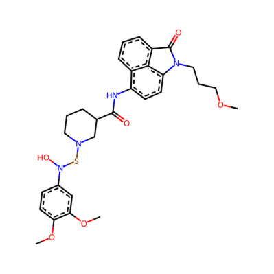 COCCCN1C(=O)c2cccc3c(NC(=O)C4CCCN(SN(O)c5ccc(OC)c(OC)c5)C4)ccc1c23